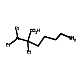 CCN(CC)C(CC)(CCCCN)C(=O)O